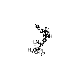 CC(C)(C)OC(=O)CCN(CCN)Cc1ccc(-c2nc3c(N4CCN(Cc5cscn5)CC4)c(Br)cnc3[nH]2)cc1